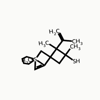 C=C(C)C1(C)C(C)(S)CC12CS13(C)(C=C21)CCCC3